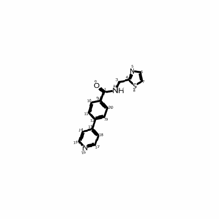 O=C(NCc1nccs1)c1ccc(-c2ccncc2)cc1